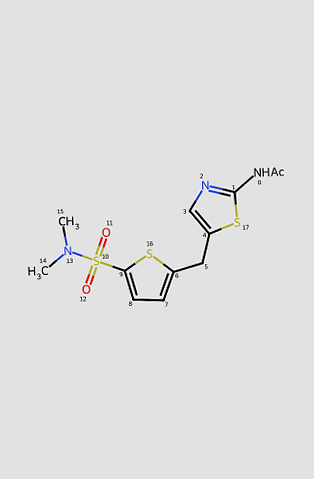 CC(=O)Nc1ncc(Cc2ccc(S(=O)(=O)N(C)C)s2)s1